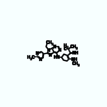 CCn1c(-c2cnc(C)nc2)nc2c(NC3CCC(NC)=C(C(=N)C(C)C)C3)ncnc21